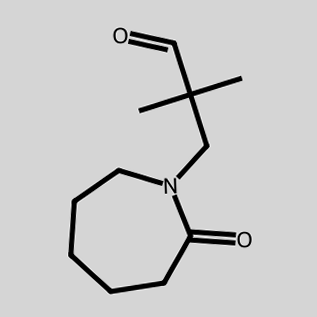 CC(C)(C=O)CN1CCCCCC1=O